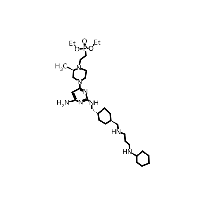 CCOP(=O)(CCN1CCN(c2cc(N)nc(NC[C@H]3CC[C@H](CNCCCNC4CCCCC4)CC3)n2)C[C@H]1C)OCC